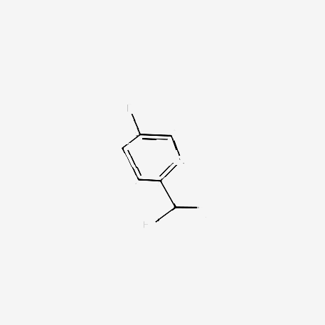 CCC(CC)c1ccc(F)cn1